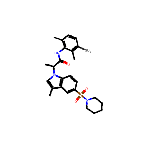 Cc1ccc([N+](=O)[O-])c(C)c1NC(=O)C(C)n1cc(C)c2cc(S(=O)(=O)N3CCCCC3)ccc21